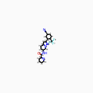 N#Cc1ccc(C(F)(F)F)c(-c2cc3ccc(NC(=O)c4ccccn4)cn3n2)c1